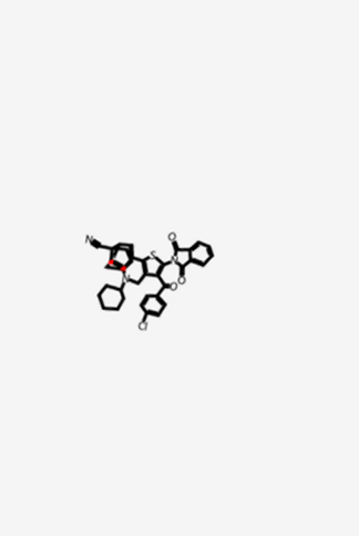 N#Cc1ccc(-c2sc(N3C(=O)c4ccccc4C3=O)c(C(=O)c3ccc(Cl)cc3)c2CN(C2CCCCC2)C2CCCCC2)cc1